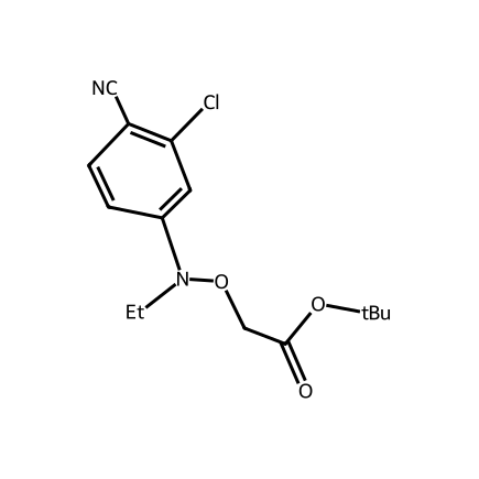 CCN(OCC(=O)OC(C)(C)C)c1ccc(C#N)c(Cl)c1